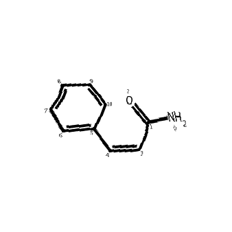 NC(=O)/C=C\c1ccccc1